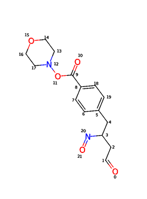 O=CCC(Cc1ccc(C(=O)ON2CCOCC2)cc1)N=O